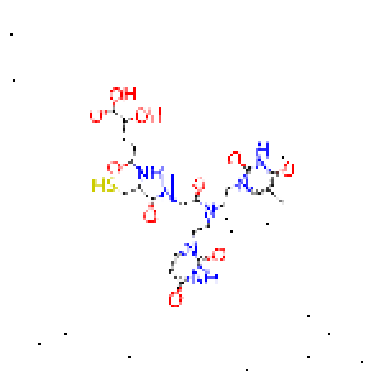 Cc1cn(CCN(CCn2ccc(=O)[nH]c2=O)C(=O)CNC(=O)C(CS)NC(=O)CCC(O)C(=O)O)c(=O)[nH]c1=O